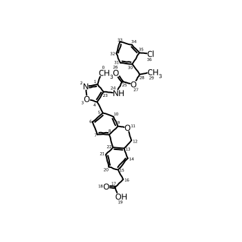 Cc1noc(-c2ccc3c(c2)OCc2cc(CC(=O)O)ccc2-3)c1NC(=O)OC(C)c1ccccc1Cl